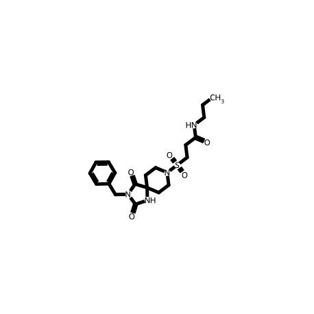 CCCNC(=O)CCS(=O)(=O)N1CCC2(CC1)NC(=O)N(Cc1ccccc1)C2=O